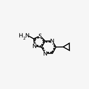 Nc1nc2ncc(C3CC3)nc2s1